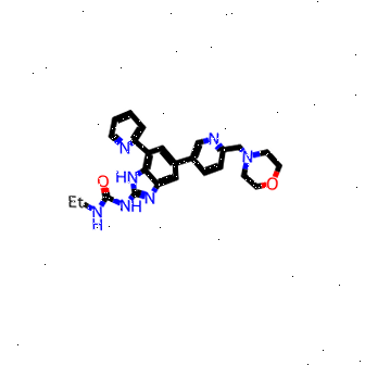 CCNC(=O)Nc1nc2cc(-c3ccc(CN4CCOCC4)nc3)cc(-c3ccccn3)c2[nH]1